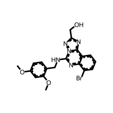 COc1ccc(CNc2nc3c(Br)cccc3c3nc(CO)nn23)c(OC)c1